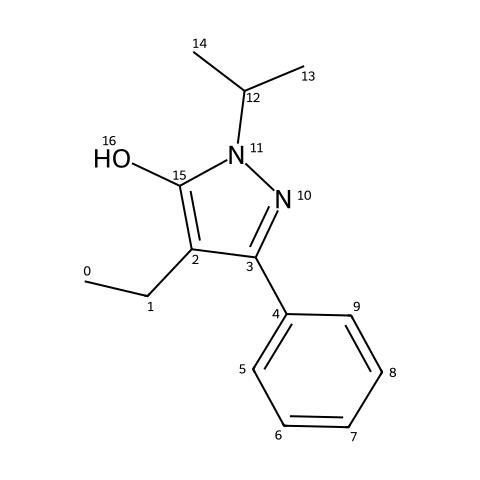 CCc1c(-c2ccccc2)nn(C(C)C)c1O